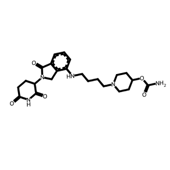 NC(=O)OC1CCN(CCCCNc2cccc3c2CN(C2CCC(=O)NC2=O)C3=O)CC1